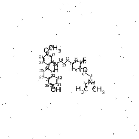 CCN(CC)CCOc1ccc(CCCNc2cc(OC)ccc2[C@H]2CCc3cc(O)ccc3C2)cc1F